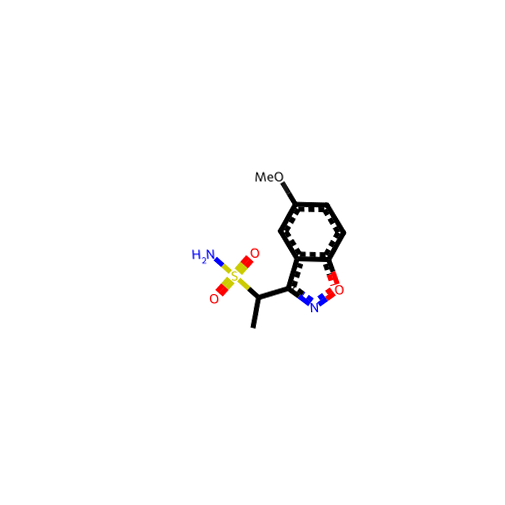 COc1ccc2onc(C(C)S(N)(=O)=O)c2c1